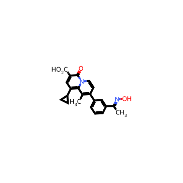 CC(=NO)c1cccc(-c2ccn3c(=O)c(C(=O)O)cc(C4CC4)c3c2C)c1